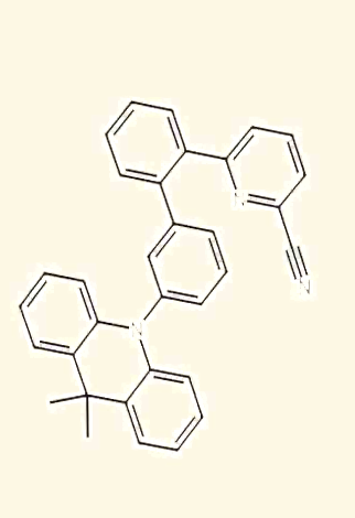 CC1(C)c2ccccc2N(c2cccc(-c3ccccc3-c3cccc(C#N)n3)c2)c2ccccc21